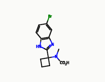 CN(C(=O)O)C1(c2nc3cc(Br)ccc3[nH]2)CCC1